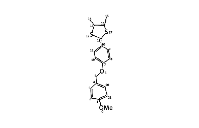 COc1ccc(COc2ccc(C3SC(C)C(C)S3)cc2)cc1